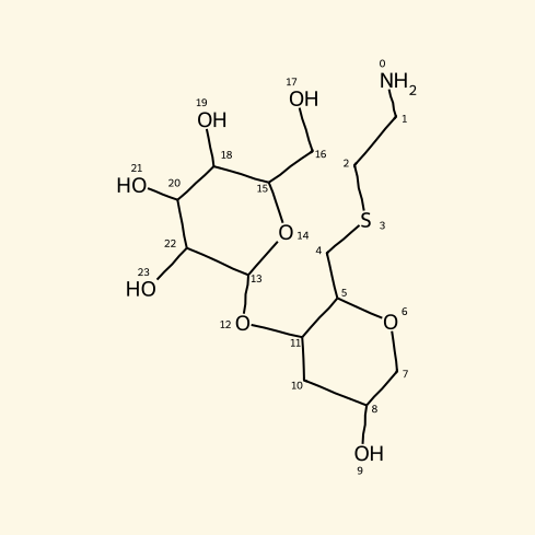 NCCSCC1OCC(O)CC1OC1OC(CO)C(O)C(O)C1O